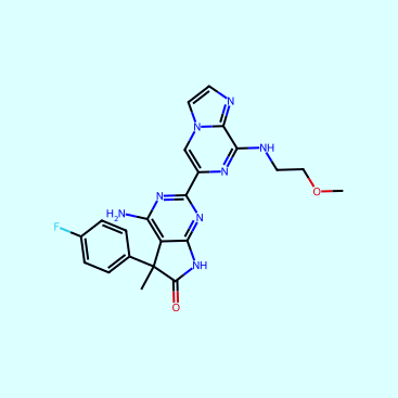 COCCNc1nc(-c2nc(N)c3c(n2)NC(=O)C3(C)c2ccc(F)cc2)cn2ccnc12